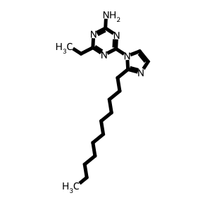 CCCCCCCCCCCc1nccn1-c1nc(N)nc(CC)n1